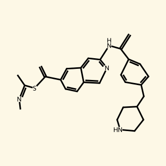 C=C(Nc1cc2cc(C(=C)S/C(C)=N\C)ccc2cn1)c1ccc(CC2CCNCC2)cc1